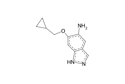 Nc1cc2cn[nH]c2cc1OCC1CC1